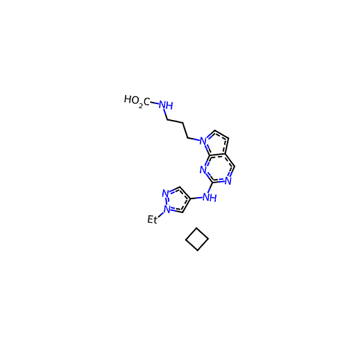 C1CCC1.CCn1cc(Nc2ncc3ccn(CCCNC(=O)O)c3n2)cn1